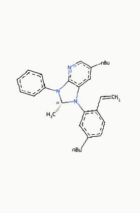 C=Cc1ccc(CCCC)cc1N1c2cc(CCCC)cnc2N(c2ccccc2)[C@H]1C